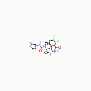 C[C@H](c1c[nH]c(=O)c2c(F)c(F)ccc12)N(C)C(=O)Nc1cccnc1